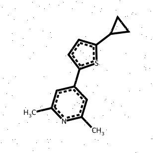 Cc1cc(-c2ccc(C3CC3)s2)cc(C)n1